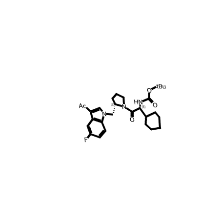 CC(=O)c1cn(C[C@@H]2CCCN2C(=O)[C@@H](NC(=O)OC(C)(C)C)C2CCCCC2)c2ccc(F)cc12